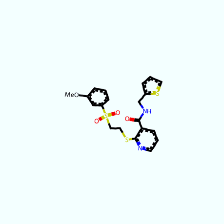 COc1cccc(S(=O)(=O)CCSc2ncccc2C(=O)NCc2cccs2)c1